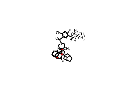 Cc1nc2ccccc2n1C1CC2CCC(C1)N2CCC1(c2cccc(F)c2)CCN(C(=O)c2cc(S(=O)(=O)NC(C)(C)C)c(F)cc2Cl)CC1